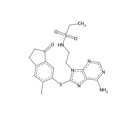 CCS(=O)(=O)NCCn1c(Sc2cc3c(cc2I)CCC3=O)nc2c(N)ncnc21